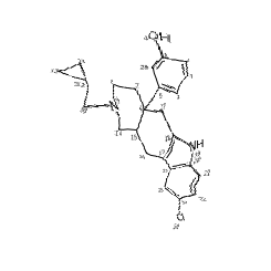 Oc1cccc(C23CCN(CC4CC4)CC2Cc2c([nH]c4ccc(Cl)cc24)C3)c1